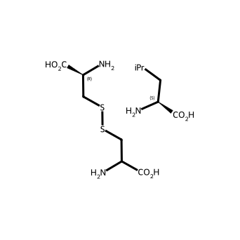 CC(C)C[C@H](N)C(=O)O.NC(CSSC[C@H](N)C(=O)O)C(=O)O